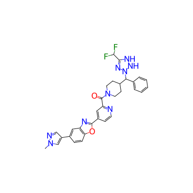 Cn1cc(-c2ccc3oc(-c4ccnc(C(=O)N5CCC(C(c6ccccc6)N6N=C(C(F)F)NN6)CC5)c4)nc3c2)cn1